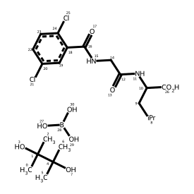 CC(C)(O)C(C)(C)O.CC(C)CC(NC(=O)CNC(=O)c1cc(Cl)ccc1Cl)C(=O)O.OB(O)O